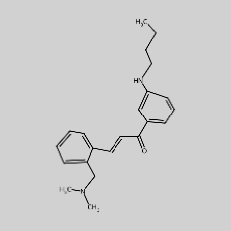 CCCCNc1cccc(C(=O)C=Cc2ccccc2CN(C)C)c1